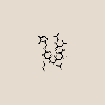 CSCC[C@H](NC(=O)OCc1ncc(C)n1C)C(=O)N[C@@H](CC(C)C)[C@@H](O)C[C@@H](C)C(=O)N[C@H](C(=O)NCC(C)C)C(C)C